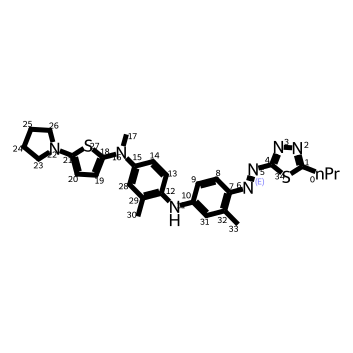 CCCc1nnc(/N=N/c2ccc(Nc3ccc(N(C)c4ccc(N5CCCC5)s4)cc3C)cc2C)s1